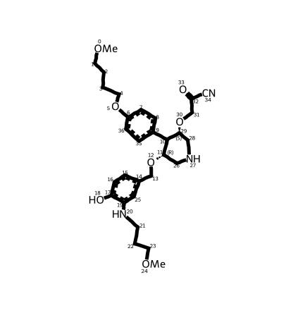 COCCCCOc1ccc(C2[C@@H](OCc3ccc(O)c(NCCCOC)c3)CNC[C@H]2OCC(=O)C#N)cc1